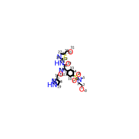 COCCN(C)S(=O)(=O)c1ccc(/C(=N\OCc2cc[nH]n2)C(=O)Nc2ncc(COC)s2)cc1